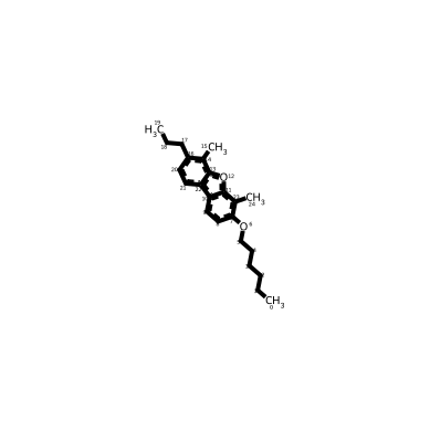 CCCCCCOc1ccc2c(oc3c(C)c(CCC)ccc32)c1C